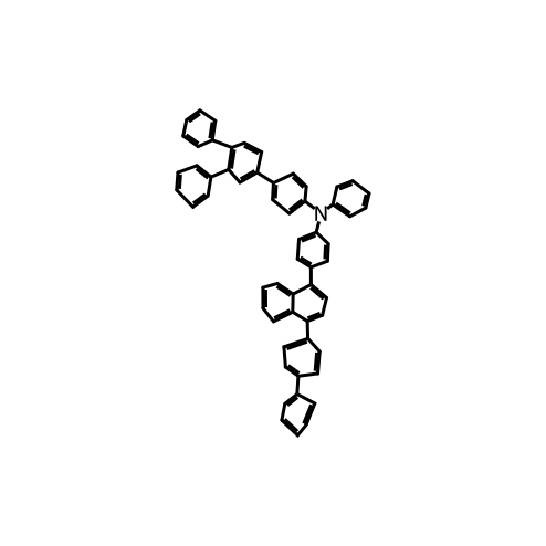 c1ccc(-c2ccc(-c3ccc(-c4ccc(N(c5ccccc5)c5ccc(-c6ccc(-c7ccccc7)c(-c7ccccc7)c6)cc5)cc4)c4ccccc34)cc2)cc1